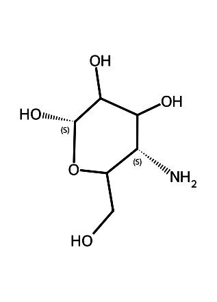 N[C@@H]1C(CO)O[C@H](O)C(O)C1O